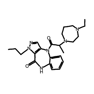 CCCn1ncc2c1C(=O)Nc1ccccc1N2C(=O)C(C)N1CCCN(CC)CC1